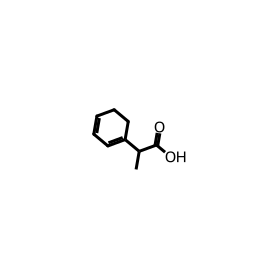 CC(C(=O)O)C1=CC=CCC1